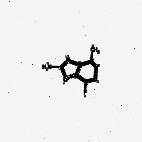 Cc1ccc(F)c2oc(N)nc12